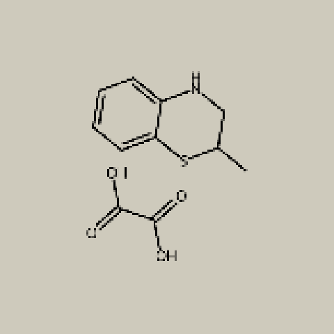 CC1CNc2ccccc2S1.O=C(O)C(=O)O